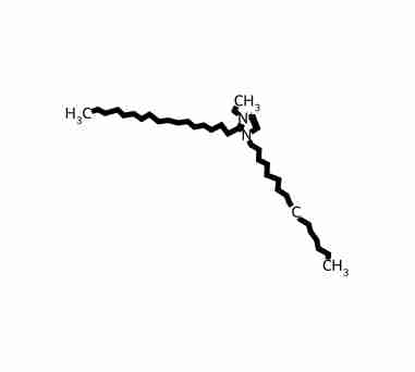 CCCCCCCCCCCCCCCCCc1n(CCCCCCCCCCCCCCCCC)cc[n+]1CC